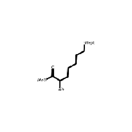 CCCCCCCCCCCCC(CCC)C(=O)OC